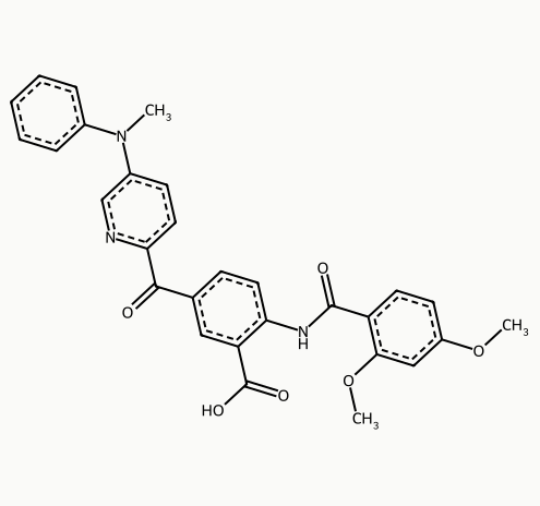 COc1ccc(C(=O)Nc2ccc(C(=O)c3ccc(N(C)c4ccccc4)cn3)cc2C(=O)O)c(OC)c1